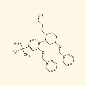 CCCCCCC(C)(C)c1ccc(C2CC(OCc3ccccc3)CCC2CCCO)c(OCc2ccccc2)c1